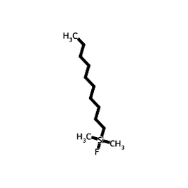 CCCCCCCCCC[Si](C)(C)F